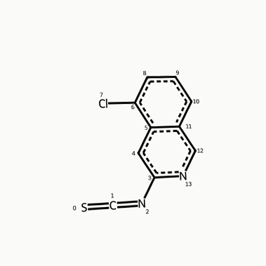 S=C=Nc1cc2c(Cl)cccc2cn1